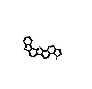 c1ccc2c(c1)=Nc1ccc3c(c1=2)=Nc1c-3ccc2c1ccc1cc[nH]c12